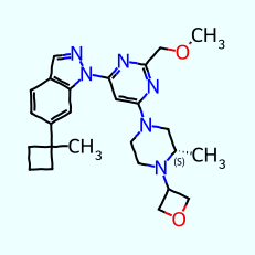 COCc1nc(N2CCN(C3COC3)[C@@H](C)C2)cc(-n2ncc3ccc(C4(C)CCC4)cc32)n1